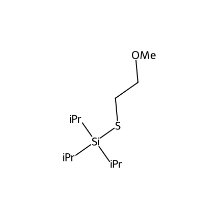 COCCS[Si](C(C)C)(C(C)C)C(C)C